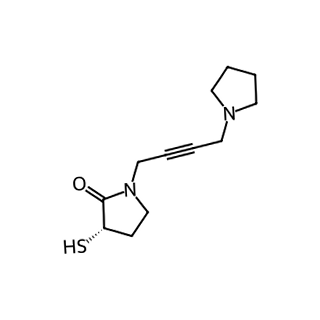 O=C1[C@@H](S)CCN1CC#CCN1CCCC1